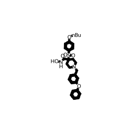 CCCCOc1ccc(S(=O)(=O)C2(C(=O)NO)CCN(Cc3cccc(Oc4ccccc4)c3)CC2)cc1